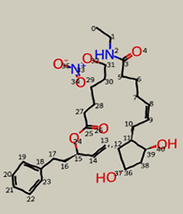 CCNC(=O)CCC/C=C\C[C@@H]1[C@@H](/C=C/[C@@H](CCc2ccccc2)OC(=O)CCCCCO[N+](=O)[O-])[C@@H](O)C[C@@H]1O